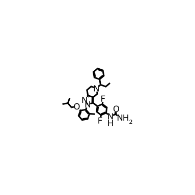 CCC(c1ccccc1)N1CCc2nn(-c3c(C)cccc3OCC(C)C)c(-c3cc(F)c(NC(N)=O)cc3F)c2C1